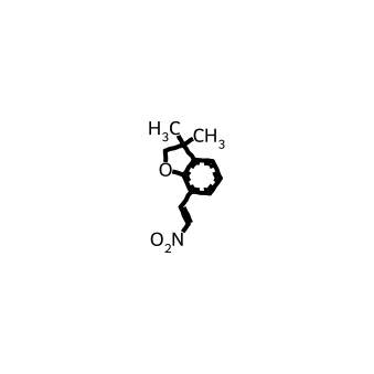 CC1(C)COc2c(C=C[N+](=O)[O-])cccc21